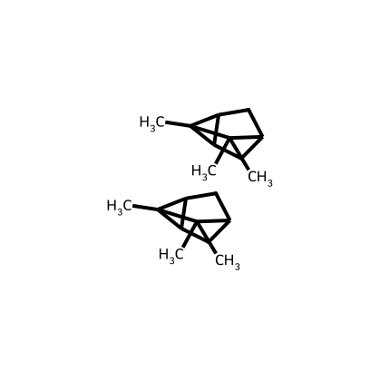 CC1(C)C2CC3C(C2)C31C.CC1(C)C2CC3C(C2)C31C